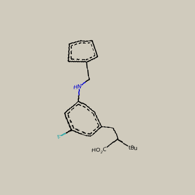 CC(C)(C)C(Cc1cc(F)cc(NCc2ccccc2)c1)C(=O)O